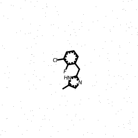 Cc1cnc(Cc2cccc(Cl)c2F)[nH]1